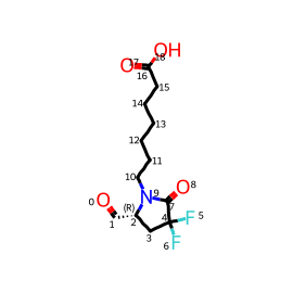 O=C[C@H]1CC(F)(F)C(=O)N1CCCCCCC(=O)O